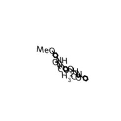 COc1ccc(NC(=O)N(CC(=O)O)Cc2cccc(OCCc3nc(-c4ccccc4)oc3C)c2)cc1